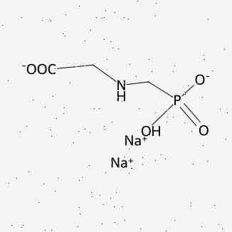 O=C([O-])CNCP(=O)([O-])O.[Na+].[Na+]